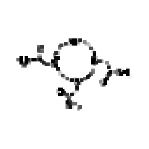 NC(=O)CN1CCCNCCN(CC(N)=O)CCN(CC(N)=O)CC1